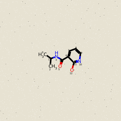 CC(C)NC(=O)c1cccnc1[O]